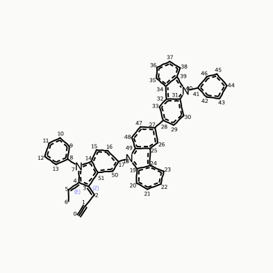 C#C/C=c1\c(=C/C)n(-c2ccccc2)c2ccc(-n3c4ccccc4c4cc(-c5ccc6c(c5)c5ccccc5n6-c5ccccc5)ccc43)cc12